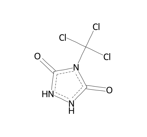 O=c1[nH][nH]c(=O)n1C(Cl)(Cl)Cl